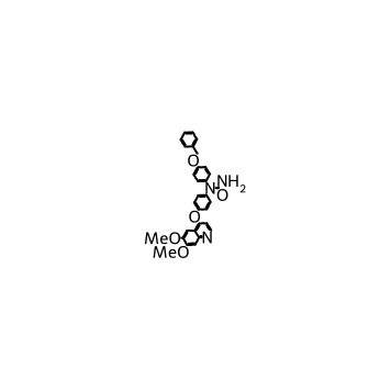 COc1cc2nccc(Oc3ccc(N(C(N)=O)c4ccc(OCc5ccccc5)cc4)cc3)c2cc1OC